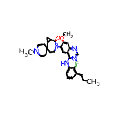 CCCc1cccc(Nc2ncnc3cc(OC)c(N4CCC5(CCN(C)CC5)C5CC5C4=O)cc23)c1F